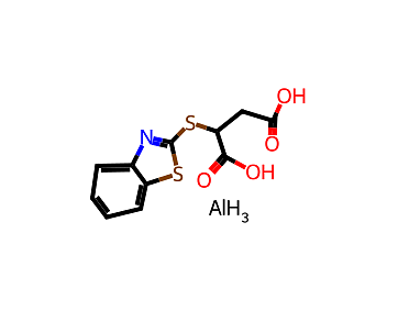 O=C(O)CC(Sc1nc2ccccc2s1)C(=O)O.[AlH3]